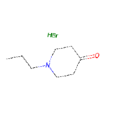 Br.CCCN1CCC(=O)CC1